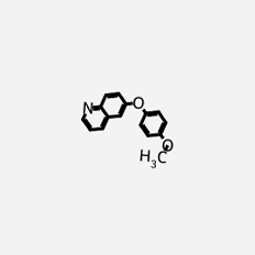 COc1ccc(Oc2ccc3ncccc3c2)cc1